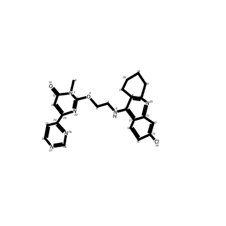 Cn1c(OCCNc2c3c(nc4cc(Cl)ccc24)CCCC3)nc(-c2ccncn2)cc1=O